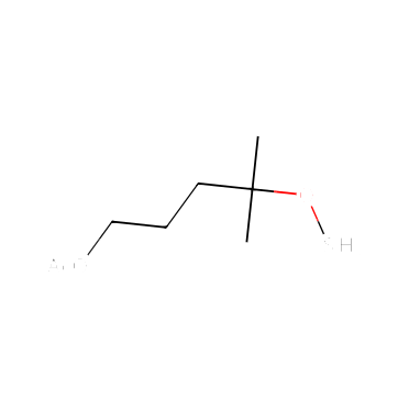 CC(=O)OCCCC(C)(C)O[SiH3]